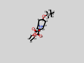 CCOC(=O)CN1C2CC(O[Si](C)(C)C(C)(C)C)CC1CC(C(=O)OCC)C2